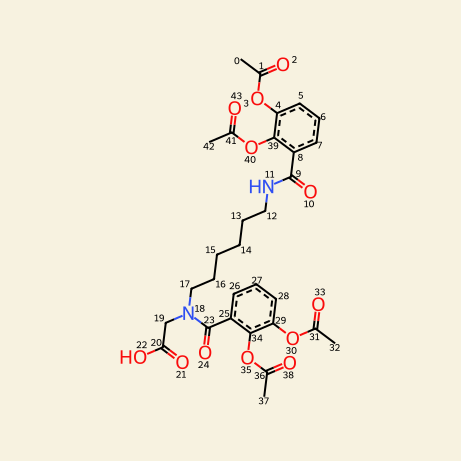 CC(=O)Oc1cccc(C(=O)NCCCCCCN(CC(=O)O)C(=O)c2cccc(OC(C)=O)c2OC(C)=O)c1OC(C)=O